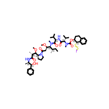 CC[C@H](C)[C@@H]([C@@H](CC(=O)N1CCC[C@H]1[C@H](OC)[C@@H](C)C(=O)N[C@H](C)[C@@H](O)c1ccccc1)OC)N(C)C(=O)[C@@H](NC(=O)[C@H](C(C)C)N(C)C(=O)O[C@H]1CCc2ccccc2[C@@H]1SSI)C(C)C